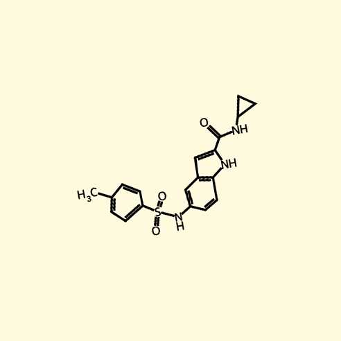 Cc1ccc(S(=O)(=O)Nc2ccc3[nH]c(C(=O)NC4CC4)cc3c2)cc1